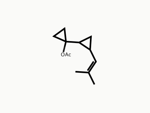 CC(=O)OC1(C2CC2C=C(C)C)CC1